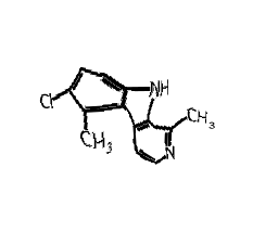 Cc1nccc2c1[nH]c1ccc(Cl)c(C)c12